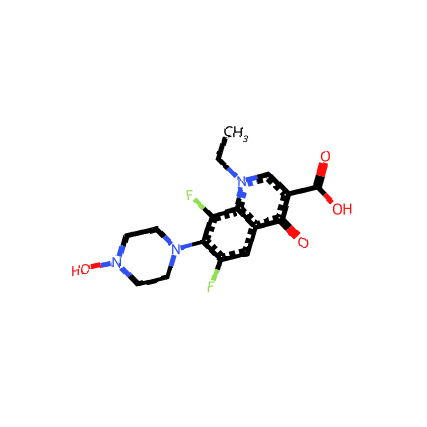 CCn1cc(C(=O)O)c(=O)c2cc(F)c(N3CCN(O)CC3)c(F)c21